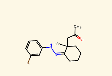 CCCC1(CC(=O)OC)CCCCC1=NNc1cccc(Br)c1